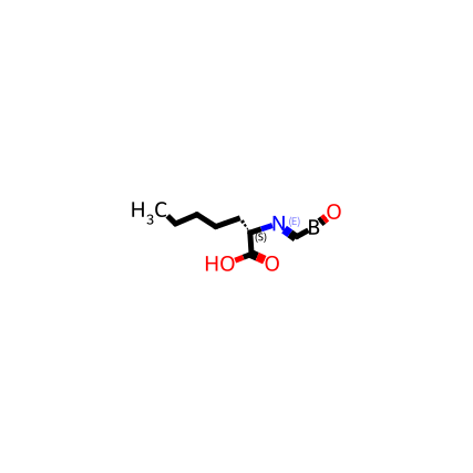 CCCCC[C@H](/N=C/B=O)C(=O)O